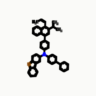 C=C(C)c1cc(-c2ccc(N(c3ccc(-c4ccccc4)cc3)c3ccc4sc5ccccc5c4c3)cc2)c2ccccc2c1/C=C\C